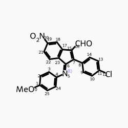 COc1ccc(/N=C2/C(c3ccc(Cl)cc3)=C(C=O)c3cc([N+](=O)[O-])ccc32)cc1